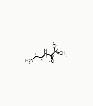 CN(C)C(=O)NCCN